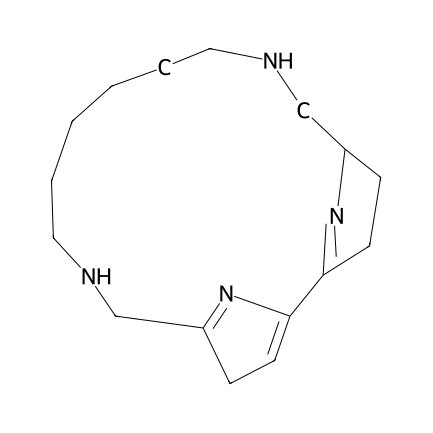 C1=C2N=C(C1)CNCCCCCCNCC1CCC2=N1